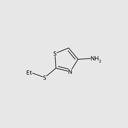 [CH2]CSc1nc(N)cs1